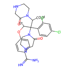 CCC(Oc1ccc(C(=N)N)cc1)C(c1ccc(Cl)cc1Cl)(C(C(=O)O)N1CCNCC1=O)N1CCNCC1=O